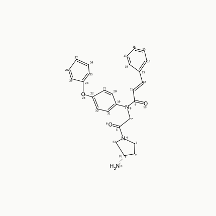 N[C@H]1CCN(C(=O)CN(C(=O)C=Cc2ccccc2)c2ccc(Oc3ccccc3)cc2)C1